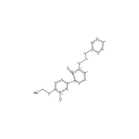 CC(C)(C)COc1ccc(-n2ccnc(SCCc3ccccc3)c2=O)cc1Cl